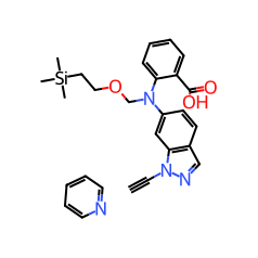 C#Cn1ncc2ccc(N(COCC[Si](C)(C)C)c3ccccc3C(=O)O)cc21.c1ccncc1